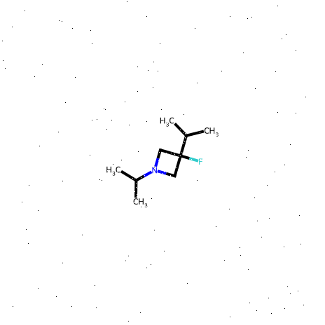 CC(C)N1CC(F)(C(C)C)C1